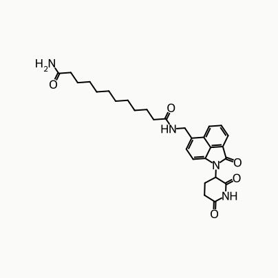 NC(=O)CCCCCCCCCCC(=O)NCc1ccc2c3c(cccc13)C(=O)N2C1CCC(=O)NC1=O